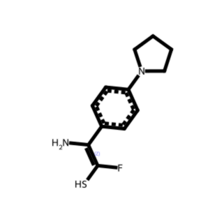 N/C(=C(/F)S)c1ccc(N2CCCC2)cc1